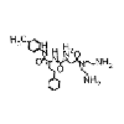 Cc1ccc(NC(=O)[C@H](CCc2ccccc2)NC(=O)[C@@H](N)CC(=O)N(CCN)CCN)cc1